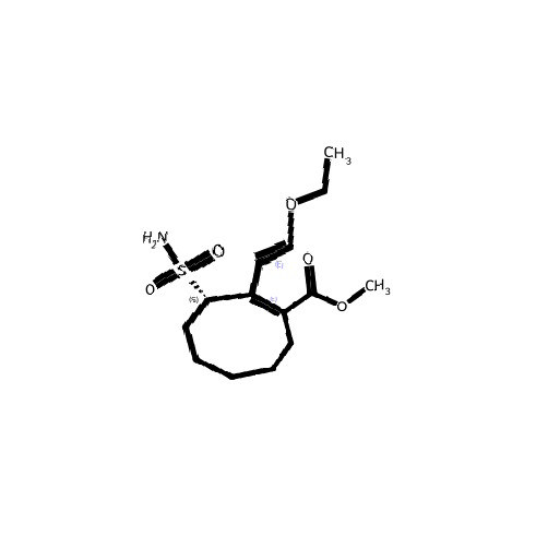 CCO/C=C/C1=C(\C(=O)OC)CCCCC[C@@H]1S(N)(=O)=O